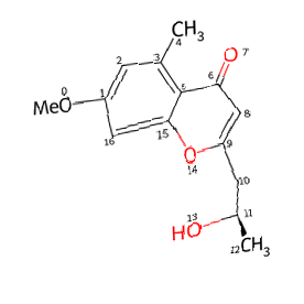 COc1cc(C)c2c(=O)cc(C[C@@H](C)O)oc2c1